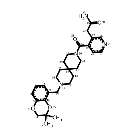 CC1(C)COc2cccc(CN3CCC4(CC3)CCN(C(=O)c3ccncc3CC(N)=O)CC4)c2O1